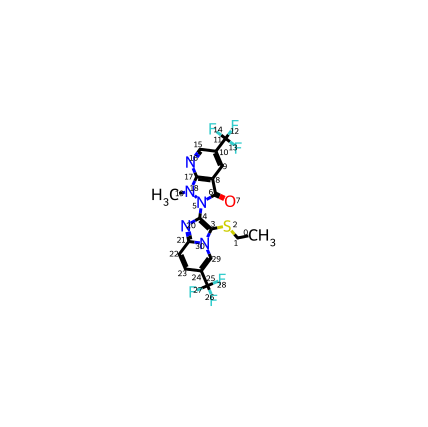 CCSc1c(-n2c(=O)c3cc(C(F)(F)F)cnc3n2C)nc2ccc(C(F)(F)F)cn12